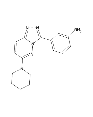 Nc1cccc(-c2nnc3ccc(N4CCCCC4)nn23)c1